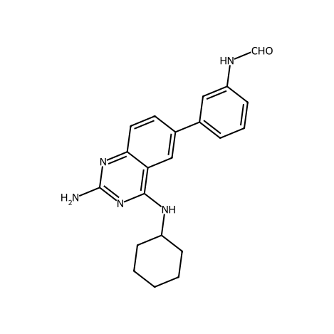 Nc1nc(NC2CCCCC2)c2cc(-c3cccc(NC=O)c3)ccc2n1